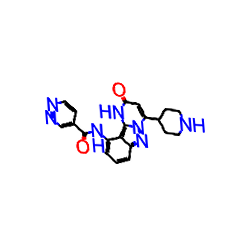 O=C(Nc1cccc2nn3c(C4CCNCC4)cc(=O)[nH]c3c12)c1ccnnc1